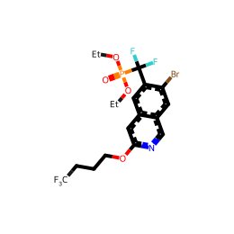 CCOP(=O)(OCC)C(F)(F)c1cc2cc(OCCCC(F)(F)F)ncc2cc1Br